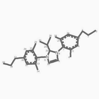 CCCc1cc(C)c(N2C=CN(c3c(C)cc(CCC)cc3C)C2C(C)C)c(C)c1